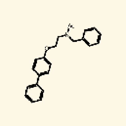 CC(=O)N(CCOc1ccc(-c2ccccc2)cc1)Cc1ccccc1